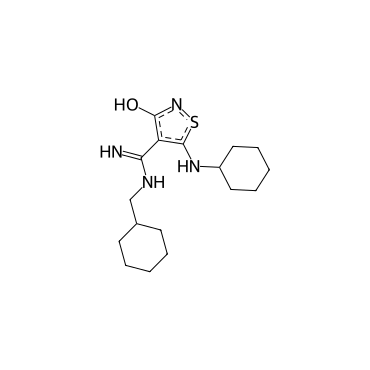 N=C(NCC1CCCCC1)c1c(O)nsc1NC1CCCCC1